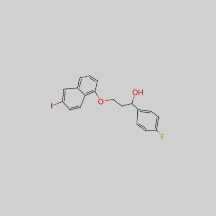 OC(CCOc1cccc2cc(I)ccc12)c1ccc(F)cc1